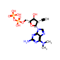 C#C[C@H]1[C@H](O)[C@@H](COP(=O)(O)OP(=O)(O)O)O[C@H]1n1cnc2c(N(C)C)nc(N)nc21